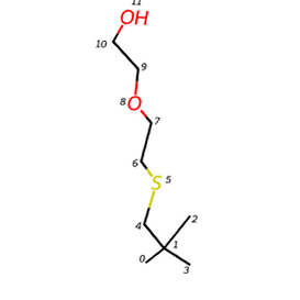 CC(C)(C)CSCCOCCO